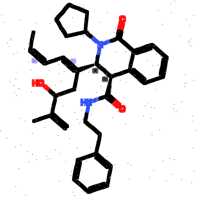 C=C(C)C(O)C/C(=C\C=C/C)[C@H]1[C@H](C(=O)NCCc2ccccc2)c2ccccc2C(=O)N1C1CCCC1